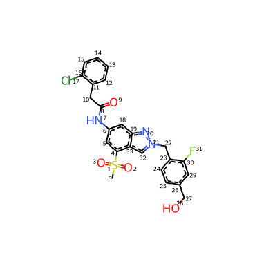 CS(=O)(=O)c1cc(NC(=O)Cc2ccccc2Cl)cc2nn(Cc3ccc(CO)cc3F)cc12